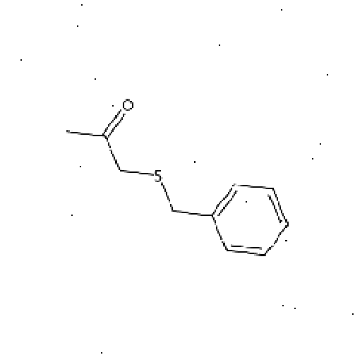 CC(=O)CSCc1ccccc1